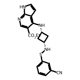 CCOC(=O)c1cnc2[nH]ccc2c1N[C@H]1C[C@@H](NSc2cccc(C#N)c2)C1